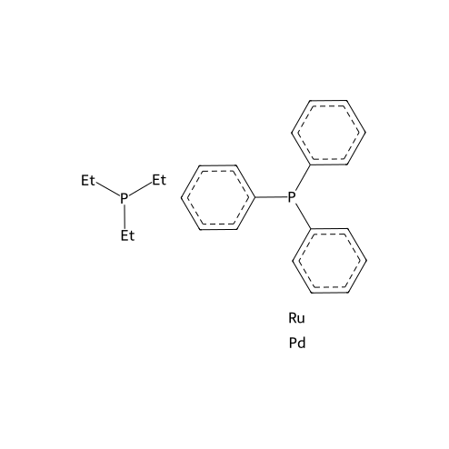 CCP(CC)CC.[Pd].[Ru].c1ccc(P(c2ccccc2)c2ccccc2)cc1